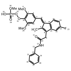 COc1cc(C=C2C(C)=C(CC(=O)NCc3ccccc3)c3cc(F)ccc32)cc(OC)c1OOP(=O)(O)OC